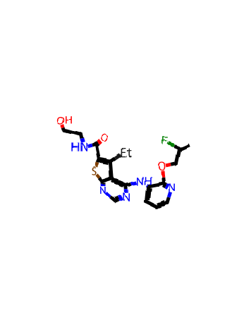 CCc1c(C(=O)NCCO)sc2ncnc(Nc3cccnc3OCC(C)F)c12